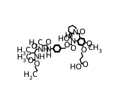 C=CCOC(=O)NC(C(=O)NC(C)C(=O)Nc1ccc(COC(=O)N2c3cc(OCCCC(=O)O)c(OC)cc3C(=O)N3CCCC[C@H]3[C@@H]2O)cc1)C(C)C